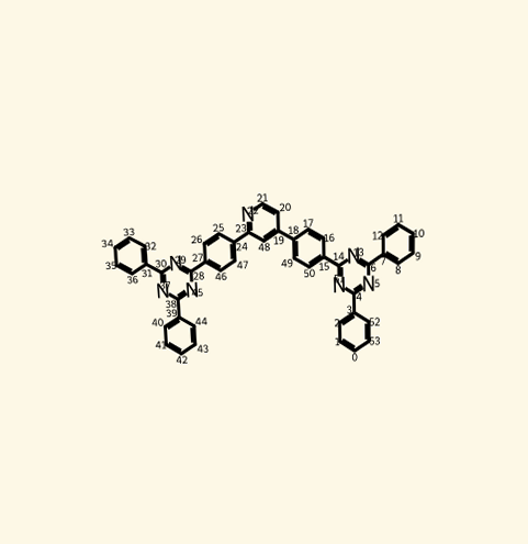 c1ccc(-c2nc(-c3ccccc3)nc(-c3ccc(-c4ccnc(-c5ccc(-c6nc(-c7ccccc7)nc(-c7ccccc7)n6)cc5)c4)cc3)n2)cc1